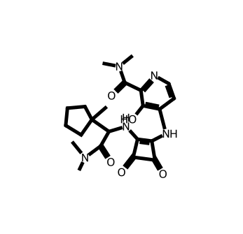 CN(C)C(=O)c1nccc(Nc2c(NC(C(=O)N(C)C)C3(C)CCCC3)c(=O)c2=O)c1O